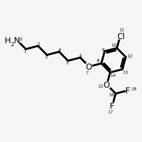 NCCCCCCOc1cc(Cl)ccc1OC(F)F